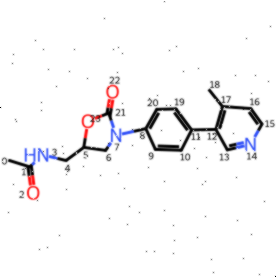 CC(=O)NCC1CN(c2ccc(-c3cnccc3C)cc2)C(=O)O1